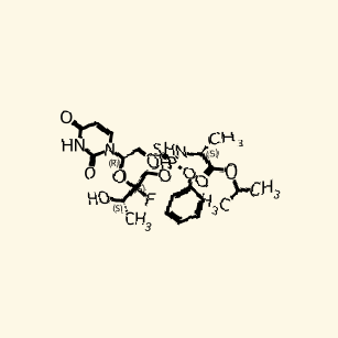 CC(C)OC(=O)[C@H](C)NP(=S)(OC[C@@](F)(O[C@H](CO)n1ccc(=O)[nH]c1=O)[C@H](C)O)Oc1ccccc1